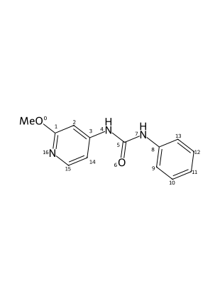 COc1cc(NC(=O)Nc2ccccc2)ccn1